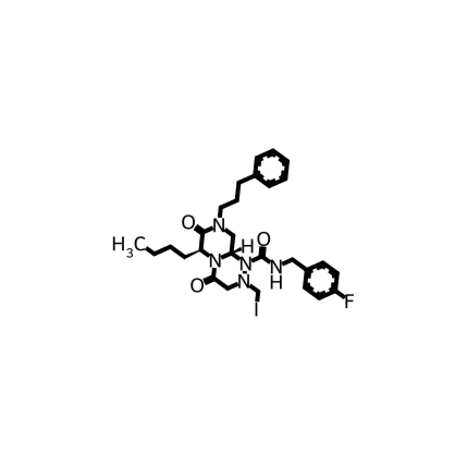 CCCC[C@H]1C(=O)N(CCCc2ccccc2)C[C@H]2N1C(=O)CN(CI)N2C(=O)NCc1ccc(F)cc1